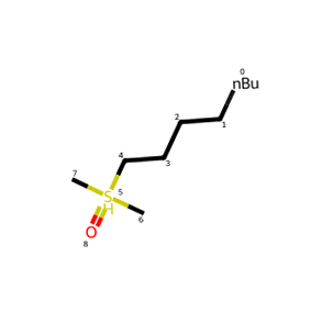 CCCCCCCC[SH](C)(C)=O